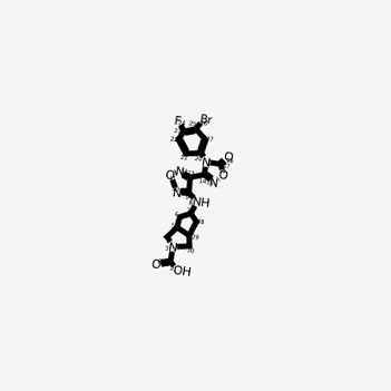 O=C(O)N1CC2CC(Nc3nonc3-c3noc(=O)n3-c3ccc(F)c(Br)c3)CC2C1